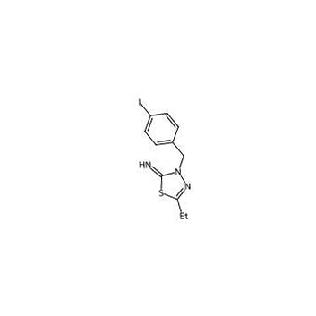 CCc1nn(Cc2ccc(I)cc2)c(=N)s1